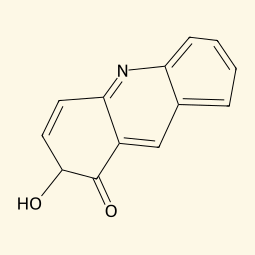 O=C1c2cc3ccccc3nc2C=CC1O